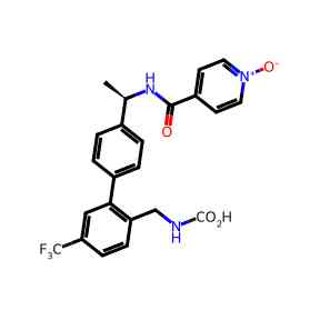 C[C@@H](NC(=O)c1cc[n+]([O-])cc1)c1ccc(-c2cc(C(F)(F)F)ccc2CNC(=O)O)cc1